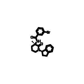 C[C@@]1(NC(=O)c2cccc(Br)c2)CCCN([C@@H]2CCc3ccccc32)C1=O